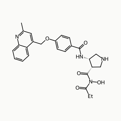 CCC(=O)N(O)C(=O)[C@H]1CNC[C@H]1NC(=O)c1ccc(OCc2cc(C)nc3ccccc23)cc1